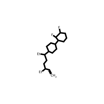 C=CC(CC)CCC(CC)C1CCC(C2CCCC(F)C2F)CC1